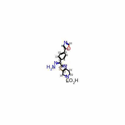 N/N=C(/c1ccc(-c2cnco2)cc1)c1nc2c(s1)CN(C(=O)O)CC2